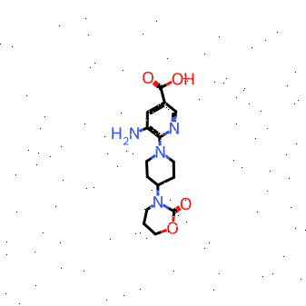 Nc1cc(C(=O)O)cnc1N1CCC(N2CCCOC2=O)CC1